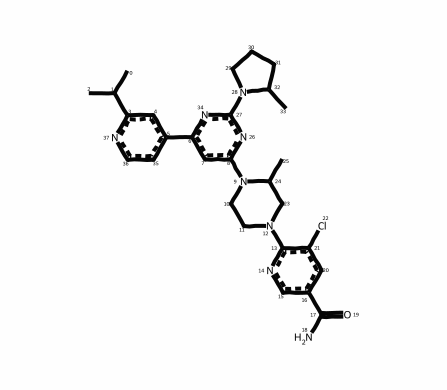 CC(C)c1cc(-c2cc(N3CCN(c4ncc(C(N)=O)cc4Cl)CC3C)nc(N3CCCC3C)n2)ccn1